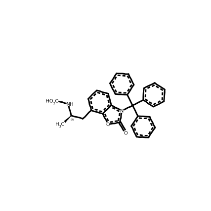 C[C@H](Cc1cccc2c1oc(=O)n2C(c1ccccc1)(c1ccccc1)c1ccccc1)NC(=O)O